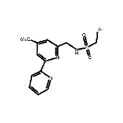 COc1cc(CNS(=O)(=O)CC(C)C)nc(-c2ccccn2)c1